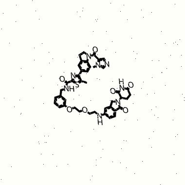 Cc1sc(C(=O)NCc2cccc(OCCOCCNc3ccc4c(c3)CN(C3CCC(=O)NC3=O)C4=O)c2)nc1-c1ccc2c(c1)CCN2C(=O)c1cncn1C